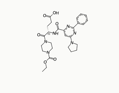 CCOC(=O)N1CCN(C(=O)[C@H](CCC(=O)O)NC(=O)c2cc(N3CCCC3)nc(-c3ccccc3)n2)CC1